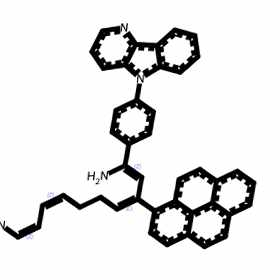 N/C=C\C=C/CC/C=C(\C=C(/N)c1ccc(-n2c3ccccc3c3ncccc32)cc1)c1ccc2ccc3cccc4ccc1c2c34